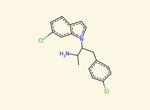 CC(N)C(Cc1ccc(Cl)cc1)n1ccc2ccc(Cl)cc21